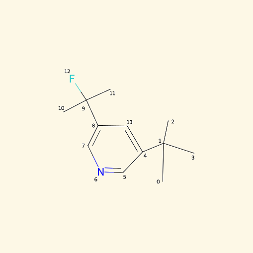 CC(C)(C)c1cncc(C(C)(C)F)c1